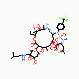 CCC1OC(=O)C(C)C(O[C@H]2C[C@@](C)(OC)[C@](O)(CNCCC(C)C)[C@H](C)O2)C(C)C(O[C@@H]2O[C@H](C)C[C@H](N(C)S(=O)(=O)Nc3ccc(C(F)(F)F)cc3)[C@H]2O)C(C)(O)CC(C)CNC(C)C(O)C1(C)O